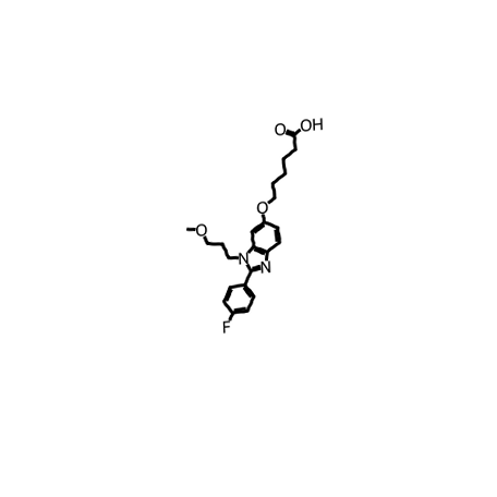 COCCCn1c(-c2ccc(F)cc2)nc2ccc(OCCCCCC(=O)O)cc21